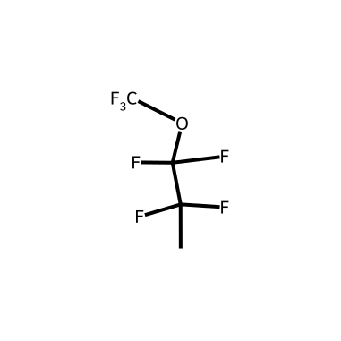 CC(F)(F)C(F)(F)OC(F)(F)F